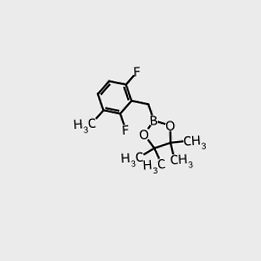 Cc1ccc(F)c(CB2OC(C)(C)C(C)(C)O2)c1F